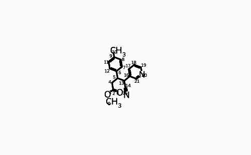 COC(=O)CC(c1ccc(C)cc1)C(C#N)c1cccnc1